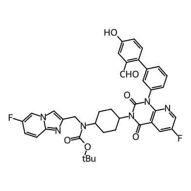 CC(C)(C)OC(=O)N(Cc1cn2cc(F)ccc2n1)C1CCC(n2c(=O)c3cc(F)cnc3n(-c3cccc(-c4ccc(O)cc4C=O)c3)c2=O)CC1